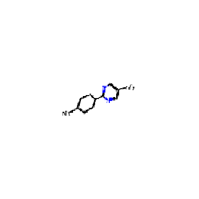 CCCc1cnc(C2CCC(CCC)CC2)nc1